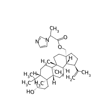 C=C(C)[C@@H]1CC[C@]2(COC(=O)C(C)n3ccnc3)CC[C@]3(C)[C@H](CC[C@@H]4[C@@]5(C)CC[C@H](O)C(C)(C)[C@@H]5CC[C@]43C)[C@@H]12